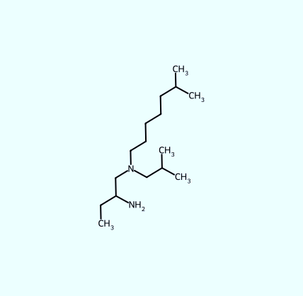 CCC(N)CN(CCCCCC(C)C)CC(C)C